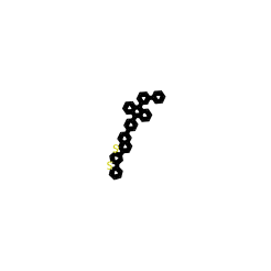 c1ccc(-c2cccc(-c3c4ccccc4c(-c4ccc(-c5ccc6c(ccc7c8cc9c(cc8sc67)sc6ccccc69)c5)cc4)c4ccccc34)c2)cc1